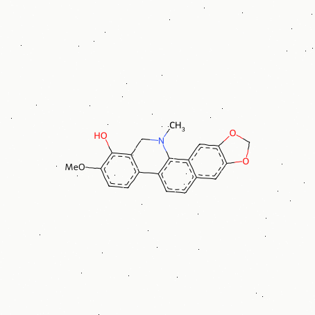 COc1ccc2c(c1O)CN(C)c1c-2ccc2cc3c(cc12)OCO3